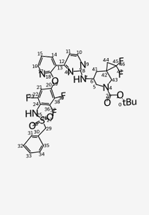 CC(C)(C)OC(=O)N1CC(Nc2nccc(-c3cccnc3Oc3cc(F)c(NS(=O)(=O)Cc4ccccc4)c(F)c3F)n2)CC2(C1)CC2(F)F